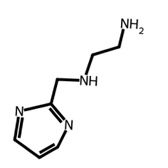 NCCNCc1ncccn1